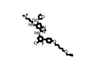 C#CCOCCCCCOc1ccc(-c2cc(Nc3ncnc4cc(OC5CCOC5)c(NC(=O)/C=C/CN(C)C)cc34)cc(Cl)c2F)cc1